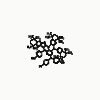 CC(C)c1ccc(N(c2ccc(C(C)C)cc2)c2cc3c4c(c2)N(c2ccc(C(C)(C)C)cc2)c2c(sc5cc6c(cc25)C(C)(C)CCC6(C)C)B4c2cc4c(cc2N3c2ccc3c(c2)C(C)(C)CCC3(C)C)C(C)(C)CCC4(C)C)cc1